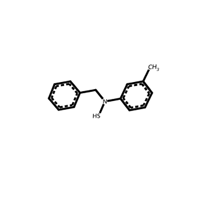 Cc1cccc(N(S)Cc2ccccc2)c1